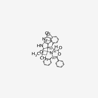 CC1(C)CC2(C1)N1[C@H](c3ccccc3)[C@H](c3ccccc3)OC(=O)[C@H]1[C@H](c1cccc(Cl)c1F)[C@@]21C(=O)Nc2nc(Cl)ccc21